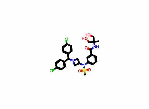 CC(CO)(CO)NC(=O)c1cccc(N(C2CN(C(c3ccc(Cl)cc3)c3ccc(Cl)cc3)C2)S(C)(=O)=O)c1